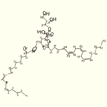 CCCC/C=C\C/C=C\CCCCCCCC(=O)OC[C@H](COP(=O)(O)OC[C@@H](O)CO)OC(=O)CCCC/C=C\C/C=C\C/C=C\CCCCC